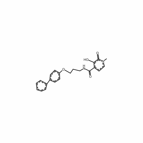 Cn1ccc(C(=O)NCCCOc2ccc(-c3ccccc3)cc2)c(O)c1=O